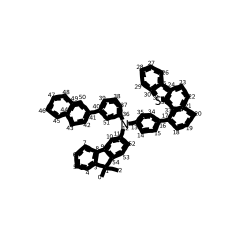 CC1(C)c2ccccc2-c2cc(N(c3ccc(-c4cccc5ccc6c7ccccc7sc6c45)cc3)c3cccc(-c4ccc5ccccc5c4)c3)ccc21